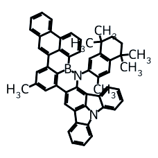 Cc1cc2c3c(c1)-c1cc4ccccc4c4cccc(c14)B3N(c1cc3c(cc1C)C(C)(C)CCC3(C)C)c1c-2cc2c3ccccc3n3c4ccccc4c1c23